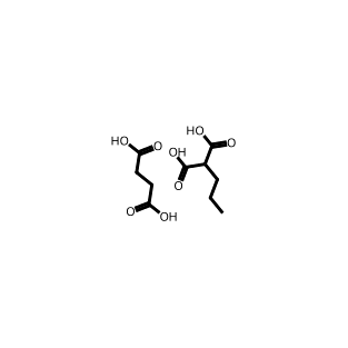 CCCC(C(=O)O)C(=O)O.O=C(O)CCC(=O)O